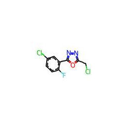 Fc1ccc(Cl)cc1-c1nnc(CCl)o1